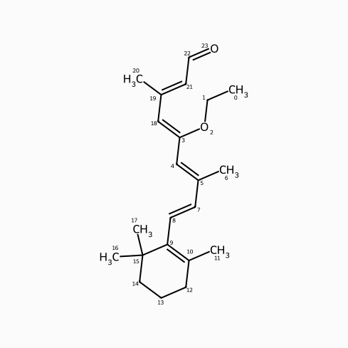 CCOC(C=C(C)C=CC1=C(C)CCCC1(C)C)=CC(C)=CC=O